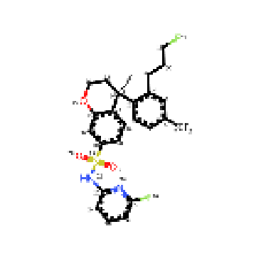 C[C@@]1(c2ccc(C(F)(F)F)cc2CCCF)CCOc2cc(S(=O)(=O)Nc3cccc(F)n3)ccc21